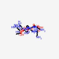 CC[C@@H](C)[C@@H](NC(=O)/C(=C/CCNC(=N)N)NC(=O)[C@H](CCCCN)NC(=O)[C@H](Cc1cnc[nH]1)NC(=O)[C@@H]1CCCN1C(=O)[C@@H](CCCN)NC(=O)CNC(=O)[C@H](C)NC(=O)[C@@H](NC(=O)[C@@H](N)CCCCN)[C@@H](O)CN)C(=O)O